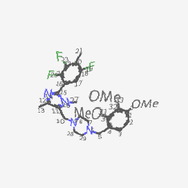 COc1ccc(CN2CCN(Cc3c(C)nc(-c4cc(F)c(C)c(F)c4F)n3C)CC2)c(OC)c1OC